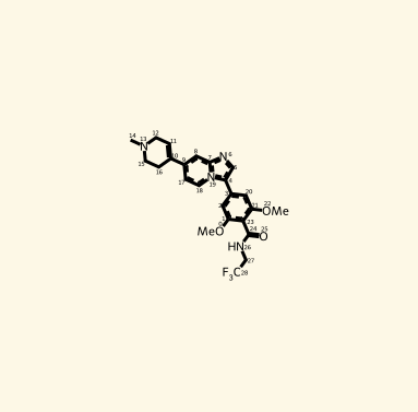 COc1cc(-c2cnc3cc(C4=CCN(C)CC4)ccn23)cc(OC)c1C(=O)NCC(F)(F)F